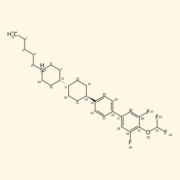 CCCCC[SiH]1CCC([C@H]2CC[C@H](c3ccc(-c4cc(F)c(OC(F)F)c(F)c4)cc3)CC2)CC1